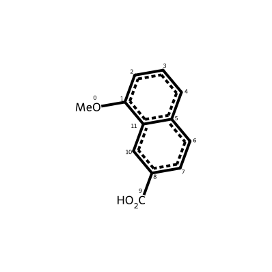 COc1cccc2ccc(C(=O)O)cc12